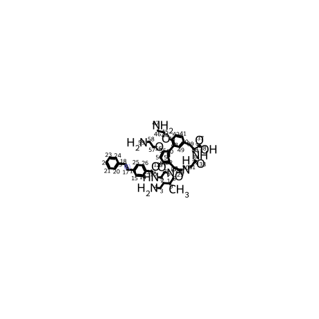 CC(CCN)CN(C(=O)CNC(=O)c1ccc(/C=C/c2ccccc2)cc1)[C@@H]1C(=O)NCC(=O)N[C@H](C(=O)O)Cc2ccc(OCCN)c(c2)-c2cc1ccc2OCCN